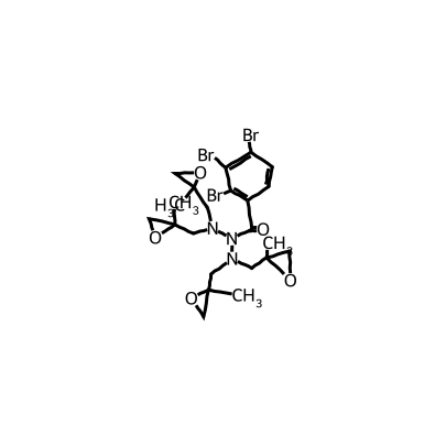 CC1(CN(CC2(C)CO2)N(C(=O)c2ccc(Br)c(Br)c2Br)N(CC2(C)CO2)CC2(C)CO2)CO1